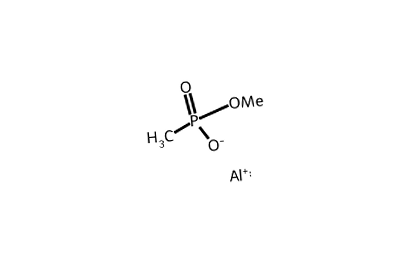 COP(C)(=O)[O-].[Al+]